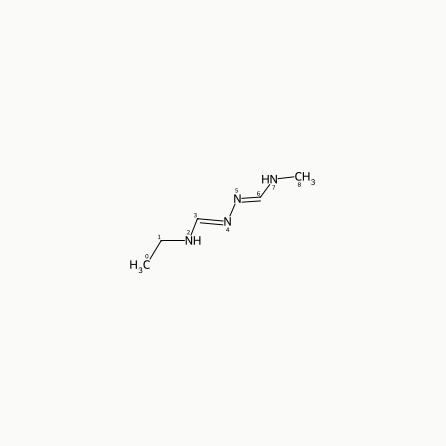 CCN/C=N/N=C/NC